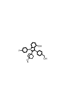 COC12CCC(c3c(-c4ccc(CO)cc4)c4c(O)cccc4n3-c3ccc(F)cc3)(CC1)C2